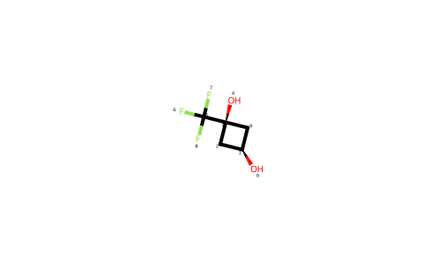 O[C@H]1C[C@](O)(C(F)(F)F)C1